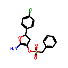 NC1=C(OS(=O)(=O)Cc2ccccc2)CC(c2ccc(Cl)cc2)O1